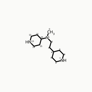 CN(CCC1CCNCC1)C1CCNCC1